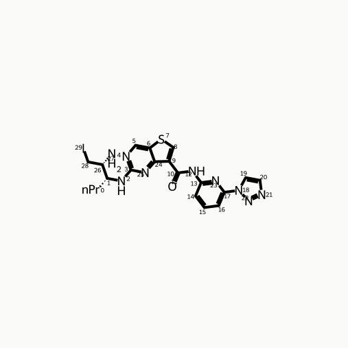 CCC[C@@H](Nc1ncc2scc(C(=O)Nc3cccc(-n4ccnn4)n3)c2n1)[C@@H](N)CI